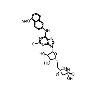 COc1cccc2cc(Nc3nc(Cl)nc4c3ncn4[C@@H]3O[C@H](CCP(=O)(O)CP(=O)(O)O)[C@H](O)C3O)ccc12